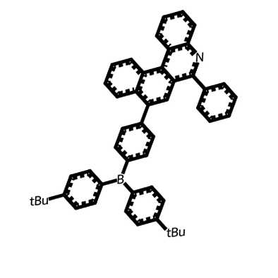 CC(C)(C)c1ccc(B(c2ccc(-c3cc4c(-c5ccccc5)nc5ccccc5c4c4ccccc34)cc2)c2ccc(C(C)(C)C)cc2)cc1